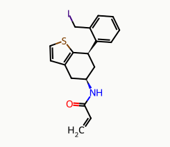 C=CC(=O)N[C@H]1Cc2ccsc2[C@@H](c2ccccc2CI)C1